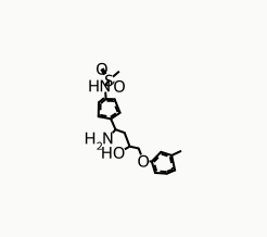 Cc1cccc(OCC(O)CC(N)c2ccc(NS(C)(=O)=O)cc2)c1